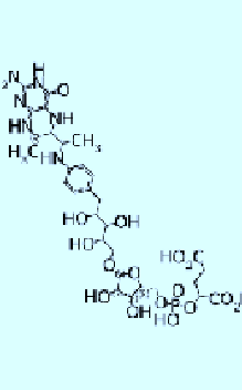 CC(Nc1ccc(CC(O)C(O)C(O)CO[C@H]2O[C@H](COP(=O)(O)OC(CCC(=O)O)C(=O)O)[C@@H](O)[C@H]2O)cc1)C1Nc2c(nc(N)[nH]c2=O)N[C@H]1C